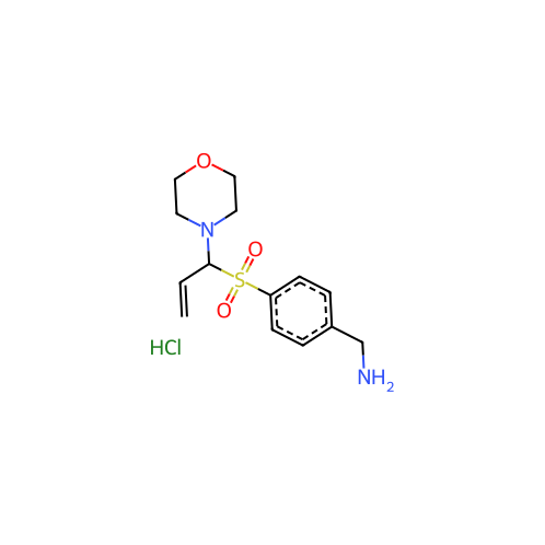 C=CC(N1CCOCC1)S(=O)(=O)c1ccc(CN)cc1.Cl